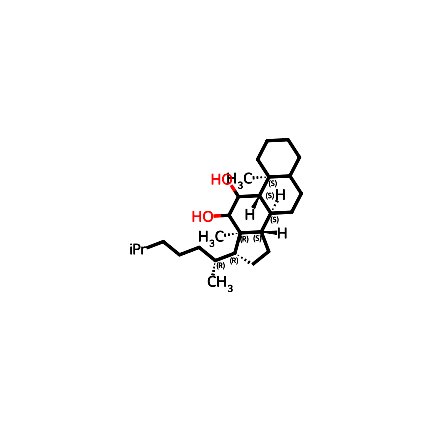 CC(C)CCC[C@@H](C)[C@H]1CC[C@H]2[C@@H]3CCC4CCCC[C@]4(C)[C@H]3C(O)C(O)[C@]12C